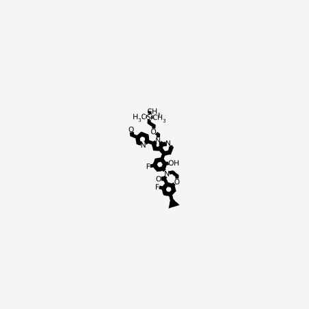 C[Si](C)(C)CCOCn1c(-c2ccc(C=O)cn2)cc2c(-c3cc(F)cc(N4CCOc5cc(C6CC6)cc(F)c5C4=O)c3O)ccnc21